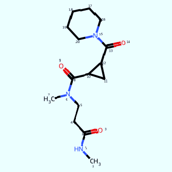 CNC(=O)CCN(C)C(=O)C1CC1C(=O)N1CCCCC1